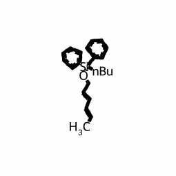 C/C=C/C=C/CO[Si](CCCC)(c1ccccc1)c1ccccc1